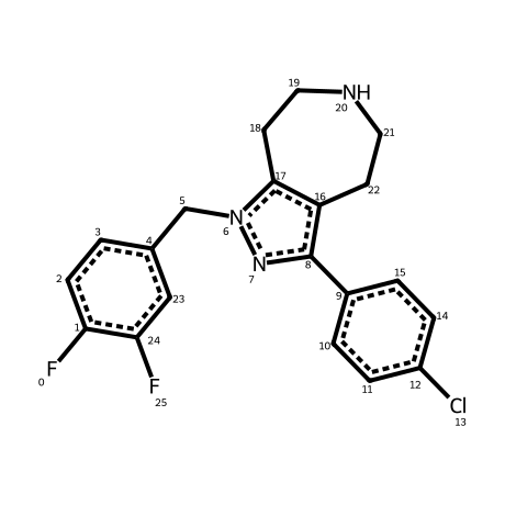 Fc1ccc(Cn2nc(-c3ccc(Cl)cc3)c3c2CCNCC3)cc1F